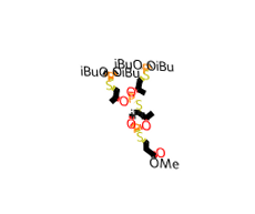 COC(=O)CCSP(OC(C)C)OC(C)CSP(OC(C)CSP(OCC(C)C)OCC(C)C)OC(C)CSP(OCC(C)C)OCC(C)C